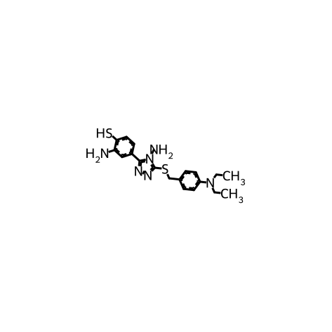 CCN(CC)c1ccc(CSc2nnc(-c3ccc(S)c(N)c3)n2N)cc1